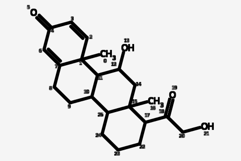 CC12C=CC(=O)C=C1CCC1C2C(O)CC2(C)C(C(=O)CO)CCCC12